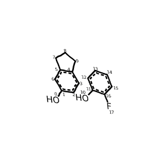 Oc1ccc2c(c1)CCC2.Oc1ccccc1F